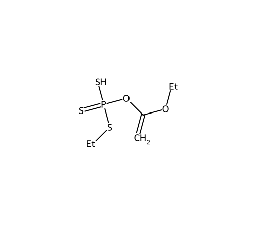 C=C(OCC)OP(=S)(S)SCC